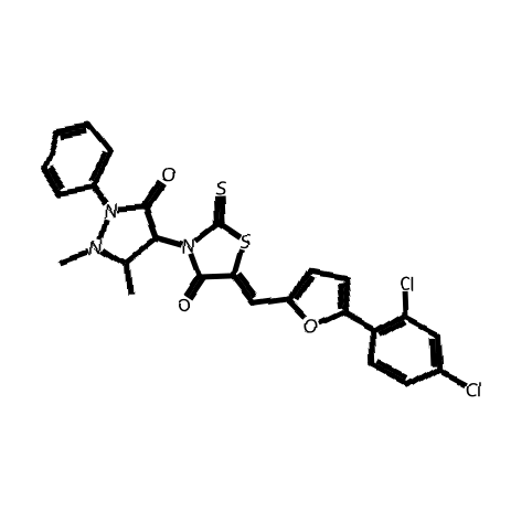 CC1C(N2C(=O)/C(=C/c3ccc(-c4ccc(Cl)cc4Cl)o3)SC2=S)C(=O)N(c2ccccc2)N1C